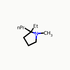 CCCC1(CC)CCCN1C